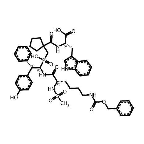 CS(=O)(=O)N[C@@H](CCCCNC(=O)OCc1ccccc1)C(=O)N[C@@H]([C@@H](c1ccccc1)c1ccc(O)cc1)P(=O)(O)CC1(C(=O)N[C@@H](Cc2c[nH]c3ccccc23)C(=O)O)CCCC1